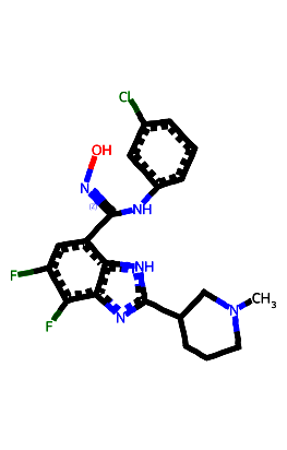 CN1CCCC(c2nc3c(F)c(F)cc(/C(=N/O)Nc4cccc(Cl)c4)c3[nH]2)C1